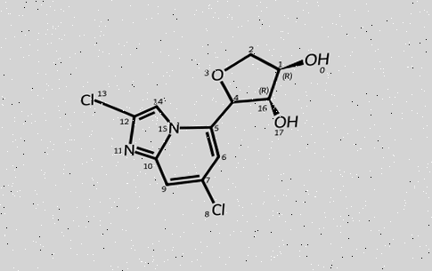 O[C@@H]1COC(c2cc(Cl)cc3nc(Cl)cn23)[C@@H]1O